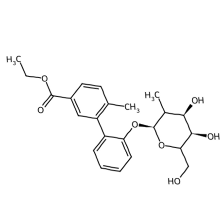 CCOC(=O)c1ccc(C)c(-c2ccccc2O[C@@H]2OC(CO)[C@H](O)[C@H](O)C2C)c1